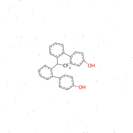 Oc1ccc(-c2ccccc2C(c2ccccc2-c2ccc(O)cc2)C(F)(F)F)cc1